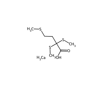 CSCCC(SC)(SC)C(=O)O.[CaH2]